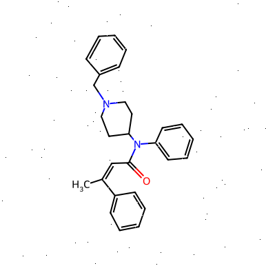 CC(=CC(=O)N(c1ccccc1)C1CCN(Cc2ccccc2)CC1)c1ccccc1